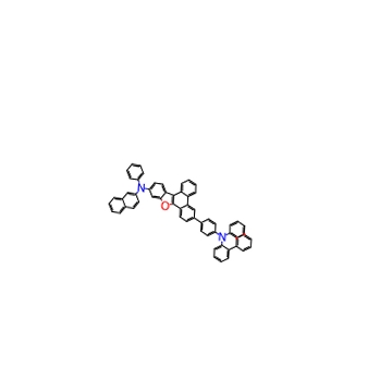 c1ccc(-c2ccccc2N(c2ccccc2)c2ccc(-c3ccc4c(c3)c3ccccc3c3c5ccc(N(c6ccccc6)c6ccc7ccccc7c6)cc5oc43)cc2)cc1